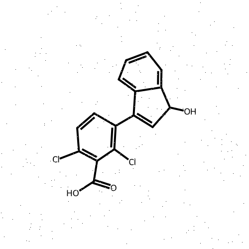 O=C(O)c1c(Cl)ccc(C2=CC(O)c3ccccc32)c1Cl